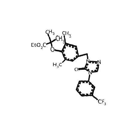 CCOC(=O)C(C)(C)Oc1c(C)cc(Cn2ncn(-c3cccc(C(F)(F)F)c3)c2=O)cc1C